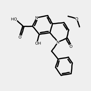 COC.O=C(O)c1ncc2ccc(=O)n(Cc3ccccc3)c2c1O